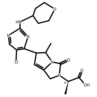 CC1C(c2nc(NC3CCOCC3)ncc2Cl)C=C2CN([C@H](C)C(=O)O)C(=O)N21